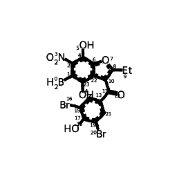 Bc1c([N+](=O)[O-])c(O)c2oc(CC)c(C(=O)c3cc(Br)c(O)c(Br)c3)c2c1O